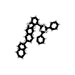 c1ccc(-c2nc(-c3ccccc3)nc(-c3cccc4oc5cc6cc(-c7ccc8ccccc8c7)ccc6cc5c34)n2)cc1